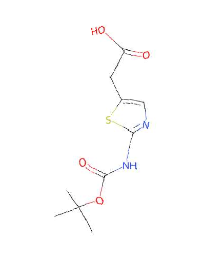 CC(C)(C)OC(=O)Nc1ncc(CC(=O)O)s1